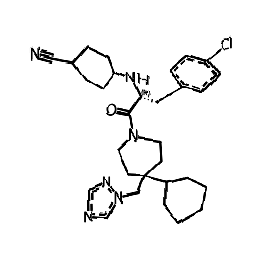 N#CC1CCC(N[C@H](Cc2ccc(Cl)cc2)C(=O)N2CCC(Cn3cncn3)(C3CCCCC3)CC2)CC1